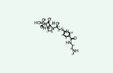 CNCCNC(=O)c1ccc(SCC(=O)N2CC[C@@H]3[C@H]2C(=O)N3S(=O)(=O)O)nc1